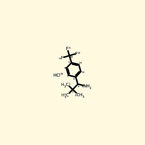 CC(C)(C)C(N)c1ccc(C(F)(F)F)cc1.Cl